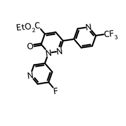 CCOC(=O)c1cc(-c2ccc(C(F)(F)F)nc2)nn(-c2cncc(F)c2)c1=O